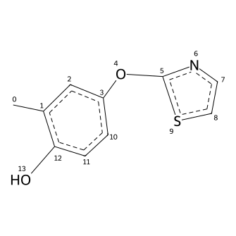 Cc1cc(Oc2nccs2)ccc1O